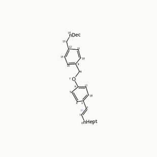 CCCCCCC/C=C/c1ccc(OCc2ccc(CCCCCCCCCCC)cc2)cc1